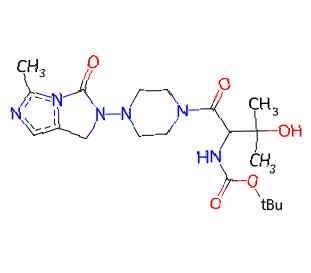 Cc1ncc2n1C(=O)N(N1CCN(C(=O)C(NC(=O)OC(C)(C)C)C(C)(C)O)CC1)C2